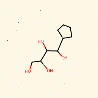 OCC(O)C(O)C(O)C1[CH]CCC1